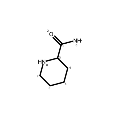 [NH]C(=O)C1CCCCN1